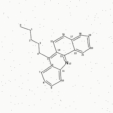 CCCCCc1c2ccccc2nc2c1ccc1ccccc12